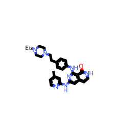 CCN1CCN(CCc2ccc(Nc3nc(Nc4cc(C)ccn4)cc4cc[nH]c(=O)c34)cc2)CC1